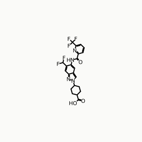 O=C(Nc1cc2cn(C3CCC(C(=O)O)CC3)nc2cc1C(F)F)c1cccc(C(F)(F)F)n1